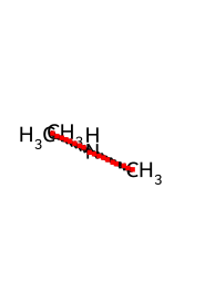 CCCCCCCCCCCCCCCCCCNCCCCCCCCCCCCCCCCCC(C)C